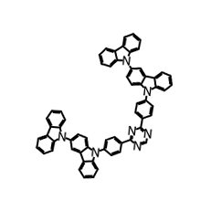 c1ccc2c(c1)c1ccccc1n2-c1ccc2c(c1)c1ccccc1n2-c1ccc(-c2ncnc(-c3ccc(-n4c5ccccc5c5cc(-n6c7ccccc7c7ccccc76)ccc54)cc3)n2)cc1